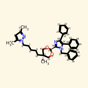 Cc1cc(C)n(CCCCC[C@]2(C)CO[C@H](c3nc(-c4ccccc4)c(-c4ccccc4)n3Cc3ccccc3)OC2)n1